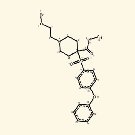 CCOCCN1CCC(C(=O)NO)(S(=O)(=O)c2ccc(Oc3ccccc3)cc2)CC1